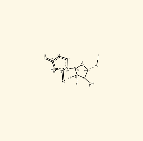 C[C@@]1(F)C(O)[C@@H](CI)O[C@H]1n1ccc(=O)[nH]c1=O